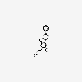 CCCc1cc2c(cc1O)C1CC[C@@H](c3ccccc3)CC1O2